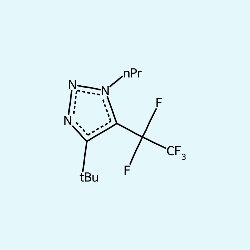 CCCn1nnc(C(C)(C)C)c1C(F)(F)C(F)(F)F